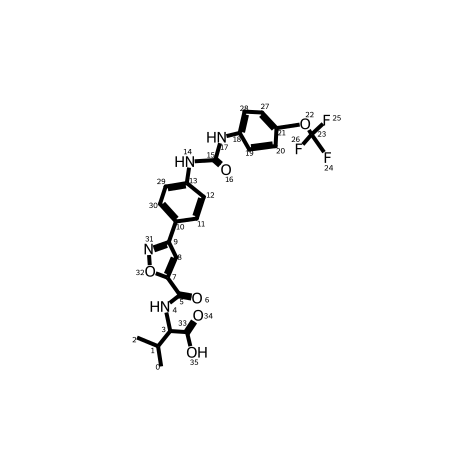 CC(C)C(NC(=O)c1cc(-c2ccc(NC(=O)Nc3ccc(OC(F)(F)F)cc3)cc2)no1)C(=O)O